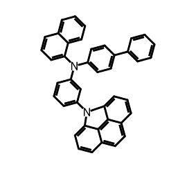 c1ccc(-c2ccc(N(c3cccc(-n4c5cccc6ccc7cccc4c7c65)c3)c3cccc4ccccc34)cc2)cc1